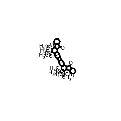 C[Si](C)(C)c1c2c(c3c(c1[Si](C)(C)C)C1OC3C3C4C5OC(c6c5c5c(c([Si](C)(C)C)c6[Si](C)(C)C)C6=C(CCCC6)C5=O)C4C13)C(=O)C1=C2CCCC1